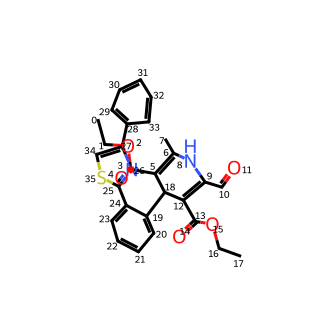 CCOC(=O)C1=C(C)NC(C=O)=C(C(=O)OCC)C1c1ccccc1-c1nc(-c2ccccc2)cs1